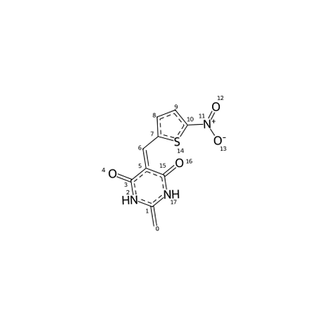 C=c1[nH]c(=O)c(=Cc2ccc([N+](=O)[O-])s2)c(=O)[nH]1